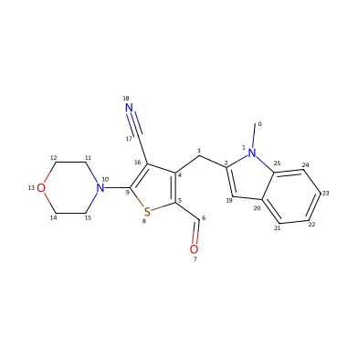 Cn1c(Cc2c(C=O)sc(N3CCOCC3)c2C#N)cc2ccccc21